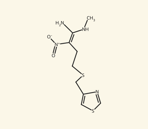 CNC(N)=C(CCSCc1cscn1)[N+](=O)[O-]